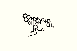 C=CC(=O)N1CCN(c2nc(OCN3CCCC3C)nc3c2CN(C2Cc4cccc5ccc(O)c2c45)C3)C[C@@H]1CC#N